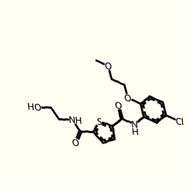 COCCOc1ccc(Cl)cc1NC(=O)c1ccc(C(=O)NCCO)s1